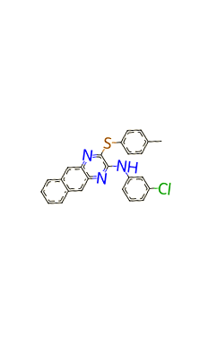 Cc1ccc(Sc2nc3cc4ccccc4cc3nc2Nc2cccc(Cl)c2)cc1